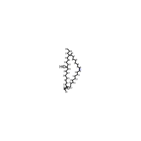 CCCCCCCC/C=C\CCCCCCCCO.CCCCCCCCCCCC(O)CCCCCCCC